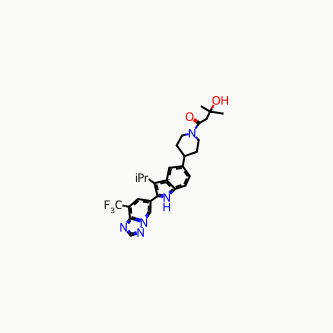 CC(C)c1c(-c2cc(C(F)(F)F)c3ncnn3c2)[nH]c2ccc(C3CCN(C(=O)CC(C)(C)O)CC3)cc12